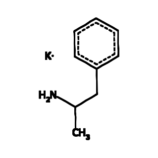 CC(N)Cc1ccccc1.[K]